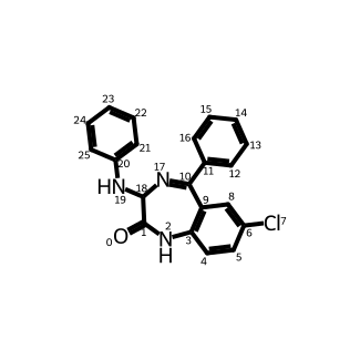 O=C1Nc2ccc(Cl)cc2C(c2ccccc2)=NC1Nc1ccccc1